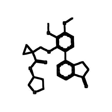 COc1ccc(-c2cccc3c2CCC3=O)c(OCC2(C(=O)O[C@H]3CCOC3)CC2)c1OC